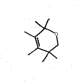 CC1=C(C)C(C)(C)OCC1(C)C